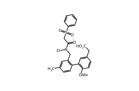 CCN(Cc1cc(C)ccc1-c1cc(CC(=O)O)ccc1OC)C(=O)CS(=O)(=O)c1ccccc1